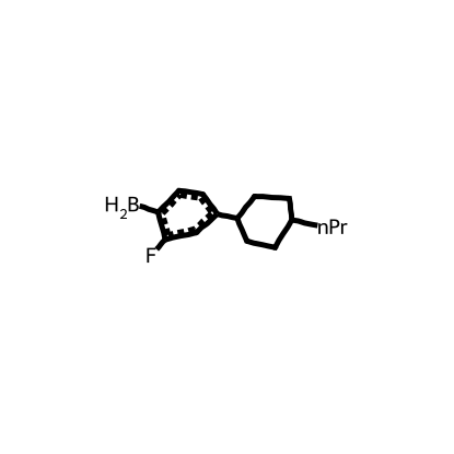 Bc1ccc(C2CCC(CCC)CC2)cc1F